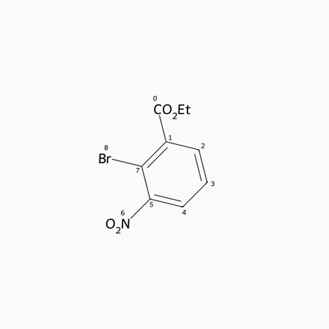 CCOC(=O)c1cccc([N+](=O)[O-])c1Br